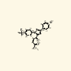 CC(=O)/C=C\C(=O)c1cc(-c2cc[n+]([O-])cc2)nn1-c1ccc(C(F)(F)F)cc1